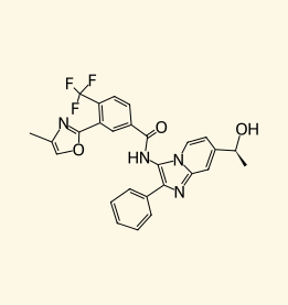 Cc1coc(-c2cc(C(=O)Nc3c(-c4ccccc4)nc4cc([C@H](C)O)ccn34)ccc2C(F)(F)F)n1